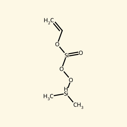 C=CO[Si](=O)OO[SiH](C)C